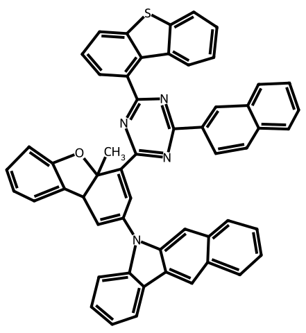 CC12Oc3ccccc3C1C=C(n1c3ccccc3c3cc4ccccc4cc31)C=C2c1nc(-c2ccc3ccccc3c2)nc(-c2cccc3sc4ccccc4c23)n1